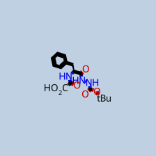 CC(C)(C)OC(=O)NNC(=O)[C@H](Cc1ccccc1)NC(=O)C(=O)O